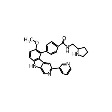 COc1ccc2[nH]c3cnc(-c4cccnc4)cc3c2c1-c1ccc(C(=O)NCC2CCCN2)cc1